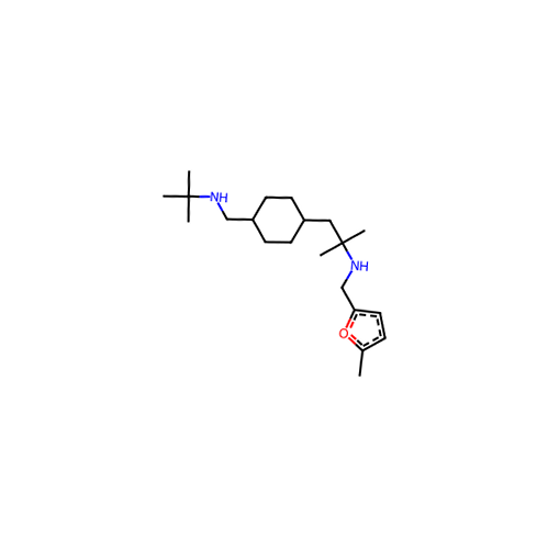 Cc1ccc(CNC(C)(C)CC2CCC(CNC(C)(C)C)CC2)o1